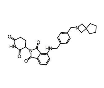 O=C1CCC(N2C(=O)c3cccc(NCc4ccc(CN5CC6(CCCC6)C5)cc4)c3C2=O)C(=O)N1